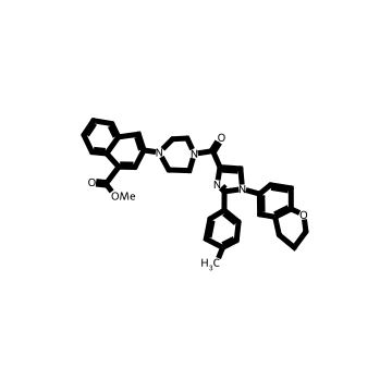 COC(=O)c1cc(N2CCN(C(=O)c3cn(-c4ccc5c(c4)CCCO5)c(-c4ccc(C)cc4)n3)CC2)cc2ccccc12